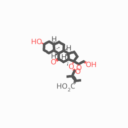 C/C(C(=O)O)=C(/C)C(=O)O[C@]1(C(=O)CO)CC[C@H]2[C@@H]3CC[C@@H]4C[C@H](O)CC[C@]4(C)[C@H]3C(=O)C[C@@]21C